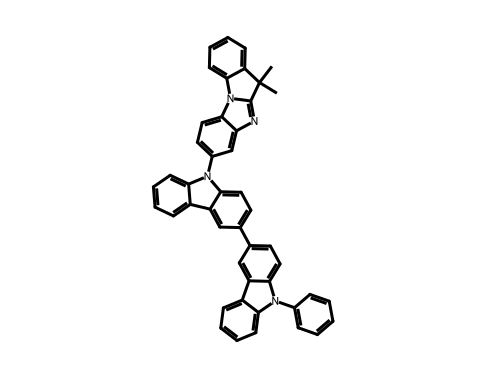 CC1(C)c2ccccc2-n2c1nc1cc(-n3c4ccccc4c4cc(-c5ccc6c(c5)c5ccccc5n6-c5ccccc5)ccc43)ccc12